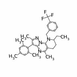 CCC1CCc2c(C)nc3c(-c4c(C)cc(C)cc4C)c(C)nn3c2N1Cc1cccc(C(F)(F)F)c1